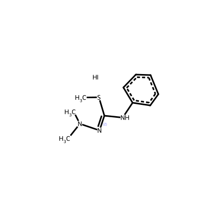 CS/C(=N\N(C)C)Nc1ccccc1.I